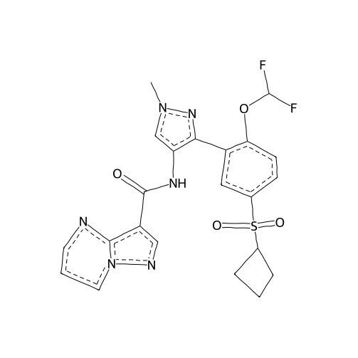 Cn1cc(NC(=O)c2cnn3cccnc23)c(-c2cc(S(=O)(=O)C3CCC3)ccc2OC(F)F)n1